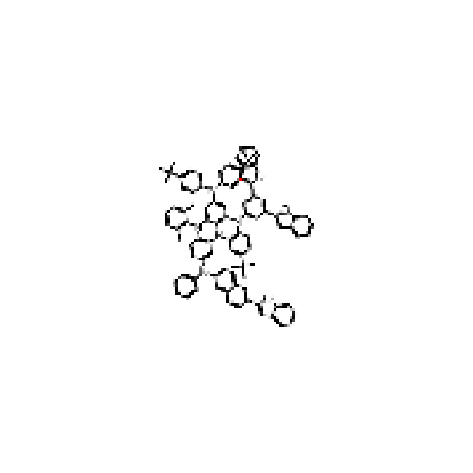 Cc1cccc(C)c1N1c2ccc(N(c3ccccc3)c3ccc4cc(-c5cc6ccccc6o5)ccc4c3)cc2B2c3cc(C(C)(C)C)ccc3N(c3cc(-c4cc5ccccc5o4)cc(-c4cc5ccccc5o4)c3)c3cc(N(c4ccc(C(C)(C)C)cc4)c4ccc(C(C)(C)C)cc4)cc1c32